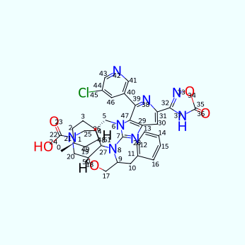 C[C@H]1CC[C@H](Cn2c(N3C(Cc4ccccc4)CO[C@@H]4CN(C(=O)O)CC[C@H]43)nc3cc(-c4noc(=O)[nH]4)nc(-c4cncc(Cl)c4)c32)CC1